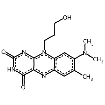 Cc1cc2nc3c(=O)[nH]c(=O)nc-3n(CCCO)c2cc1N(C)C